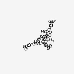 CC(=NC(=O)OCc1ccc([N+](=O)[O-])cc1)N1CC[C@H](SC(=O)C[C@@H]2[C@H]([C@@H](C)OC(=O)OCc3ccc([N+](=O)[O-])cc3)C(=O)N2C(O)C(=O)OCc2ccc([N+](=O)[O-])cc2)C1